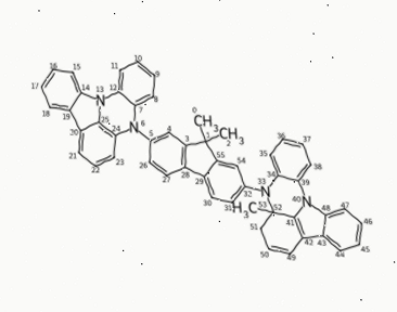 CC1(C)c2cc(N3c4ccccc4-n4c5ccccc5c5cccc3c54)ccc2-c2ccc(N3c4ccccc4-n4c5c(c6ccccc64)C=CCC53C)cc21